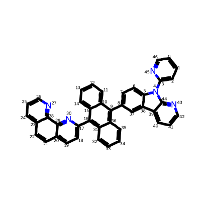 c1ccc(-n2c3ccc(-c4c5ccccc5c(-c5ccc6ccc7cccnc7c6n5)c5ccccc45)cc3c3cccnc32)nc1